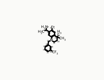 CCc1cc2c(cc1C(C)N)N(Cc1cccc(C(F)(F)F)c1)CCC2(C)C